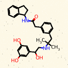 CC(C)(Cc1cccc(CC(=O)NC2CCc3ccccc32)c1)NCC(O)c1cc(O)cc(O)c1